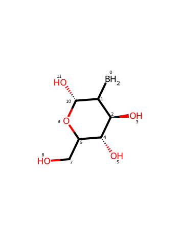 BC1[C@@H](O)[C@H](O)C(CO)O[C@@H]1O